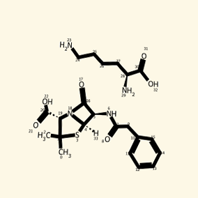 CC1(C)S[C@@H]2[C@H](NC(=O)Cc3ccccc3)C(=O)N2[C@H]1C(=O)O.NCCCC[C@H](N)C(=O)O